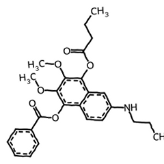 CCCNc1ccc2c(OC(=O)c3ccccc3)c(OC)c(OC)c(OC(=O)CCC)c2c1